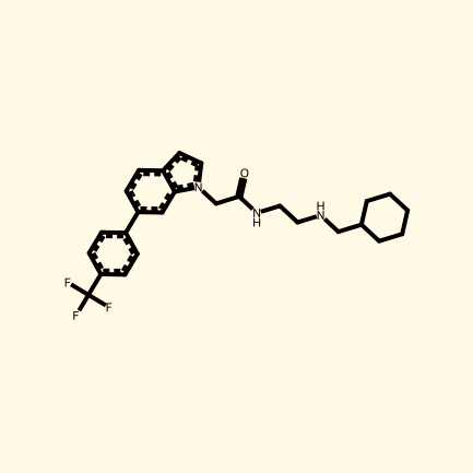 O=C(Cn1ccc2ccc(-c3ccc(C(F)(F)F)cc3)cc21)NCCNCC1CCCCC1